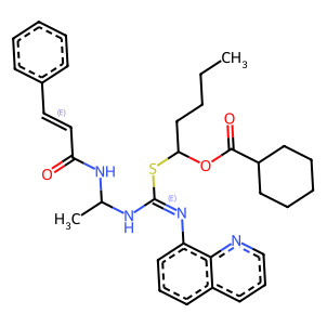 CCCCC(OC(=O)C1CCCCC1)S/C(=N/c1cccc2cccnc12)NC(C)NC(=O)/C=C/c1ccccc1